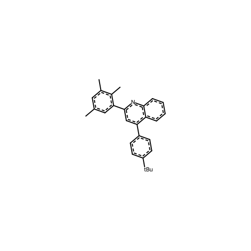 Cc1cc(C)c(C)c(-c2cc(-c3ccc(C(C)(C)C)cc3)c3ccccc3n2)c1